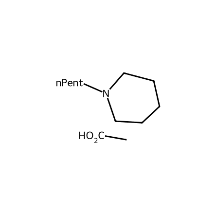 CC(=O)O.CCCCCN1CCCCC1